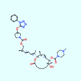 C/C(=C\C=C\[C@@H](C)COC(=O)N1CC[C@@H](Oc2nnnn2-c2ccccc2)C1)[C@H]1OC(=O)CCCC[C@@](C)(O)[C@@H](OC(=O)N2CCN(C)CC2)/C=C/[C@@H]1C